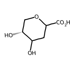 O=C(O)C1CC(O)[C@H](O)CO1